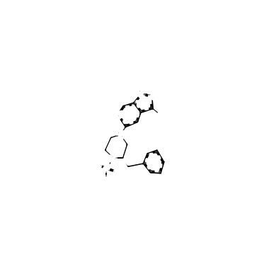 Cc1n[nH]c2cnc(N3CCN(S(C)(=O)=O)[C@H](Cc4ccccc4)C3)cc12